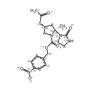 CC(=O)S[C@@H]1CN(C(=O)OCc2ccc([N+](=O)[O-])cc2)[C@](C)(N2CCNC2=O)C1